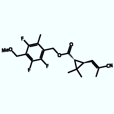 COCc1c(F)c(C)c(COC(=O)[C@@H]2[C@@H](C=C(C)C#N)C2(C)C)c(F)c1F